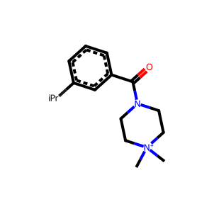 CC(C)c1cccc(C(=O)N2CC[N+](C)(C)CC2)c1